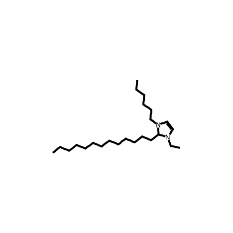 CCCCCCCCCCCCCC1N(CC)C=CN1CCCCCC